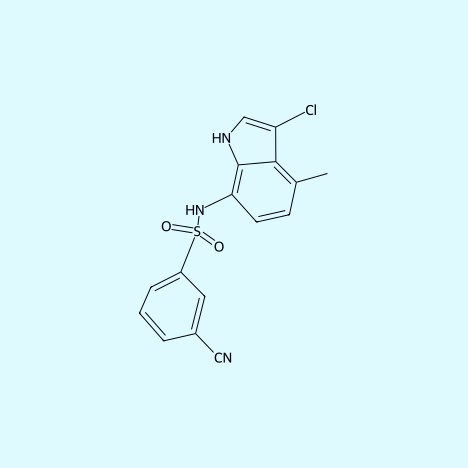 Cc1ccc(NS(=O)(=O)c2cccc(C#N)c2)c2[nH]cc(Cl)c12